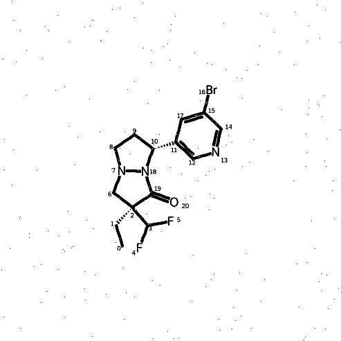 CC[C@]1(C(F)F)CN2CC[C@H](c3cncc(Br)c3)N2C1=O